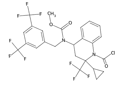 COC(=O)N(Cc1cc(C(F)(F)F)cc(C(F)(F)F)c1)C1CC(C2CC2)(C(F)(F)F)N(C(=O)Cl)c2ccccc21